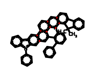 CC1(C)c2ccccc2-c2cccc(N(c3cccc(-c4ccc5c(c4)c4ccccc4n5-c4ccccc4)c3)c3cccc(-c4ccccc4)c3-c3ccccc3-c3ccccc3)c21